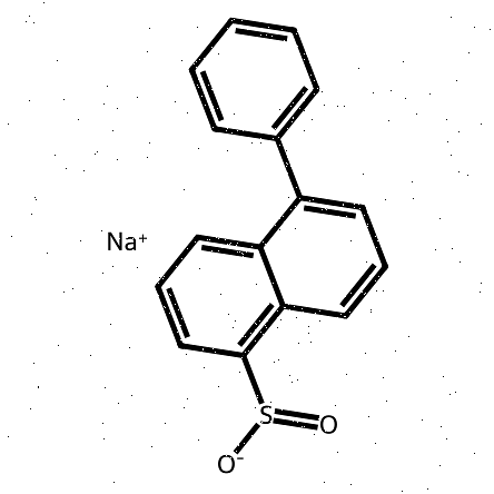 O=S([O-])c1cccc2c(-c3ccccc3)cccc12.[Na+]